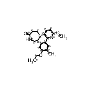 CCOc1ccc(-c2nc(OC)ccc2N2CCNC(=O)CC2)cc1C